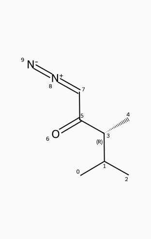 CC(C)[C@@H](C)C(=O)C=[N+]=[N-]